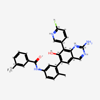 Cc1ccc(NC(=O)c2cccc(C(F)(F)F)c2)cc1-c1cc2cnc(N)nc2c(-c2ccc(F)nc2)c1O